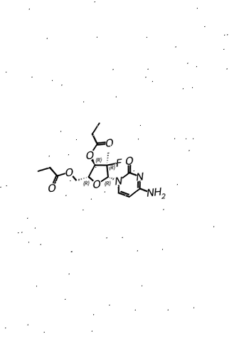 CCC(=O)OC[C@H]1O[C@@H](n2ccc(N)nc2=O)[C@](C)(F)[C@@H]1OC(=O)CC